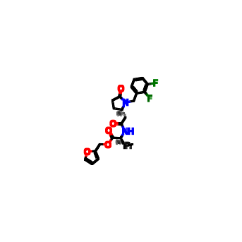 CC(C)[C@H](NC(=O)C[C@@H]1CCC(=O)N1Cc1cccc(F)c1F)C(=O)OCc1ccco1